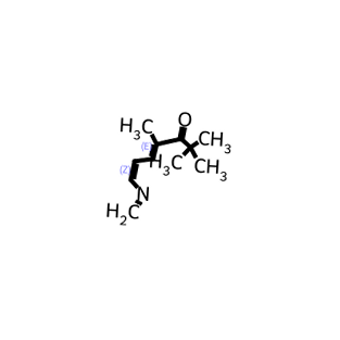 C=N/C=C\C=C(/C)C(=O)C(C)(C)C